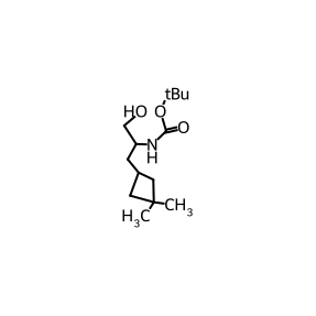 CC1(C)CC(CC(CO)NC(=O)OC(C)(C)C)C1